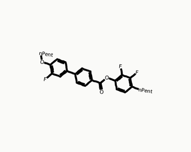 CCCCCOc1ccc(-c2ccc(C(=O)Oc3ccc(CCCCC)c(F)c3F)cc2)cc1F